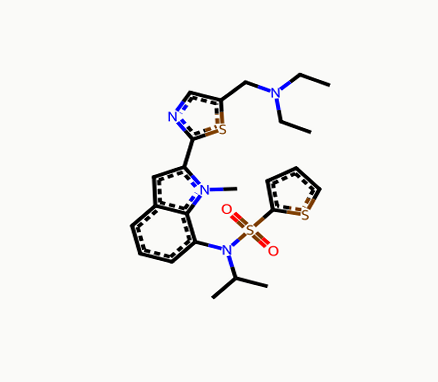 CCN(CC)Cc1cnc(-c2cc3cccc(N(C(C)C)S(=O)(=O)c4cccs4)c3n2C)s1